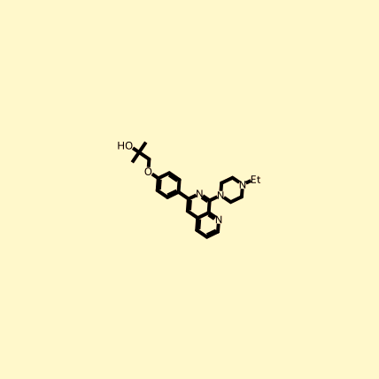 CCN1CCN(c2nc(-c3ccc(OCC(C)(C)O)cc3)cc3cccnc23)CC1